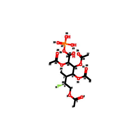 CC(=O)OC[C@H](F)C(C)C(OC(C)=O)C(OC(C)=O)C(OC(C)=O)C(O)OP(=O)(O)O